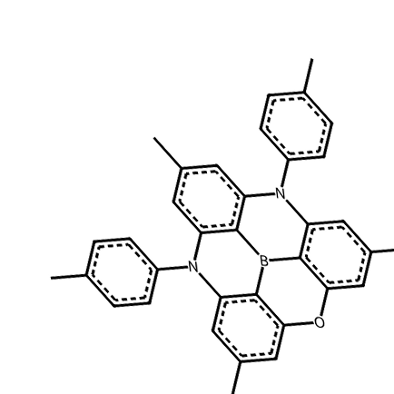 Cc1ccc(N2c3cc(C)cc4c3B3c5c(cc(C)cc5N(c5ccc(C)cc5)c5cc(C)cc2c53)O4)cc1